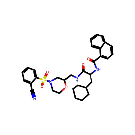 N#Cc1ccccc1S(=O)(=O)N1CCOC(CNC(=O)[C@H](CC2CCCCC2)NC(=O)c2cccc3ccccc23)C1